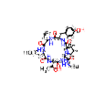 CC(C)C[C@@H]1NC(=O)[C@@H](Cc2ccc(O)cc2)NC(=O)[C@@H]2CCCN2[C@@H](C(=O)NC(C)(C)C)NC(=O)C([C@@H](C)O)NC(=O)[C@H](CC(=O)O)NC1=O